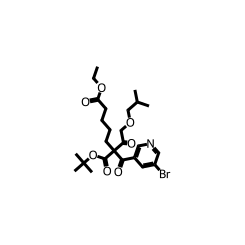 CCOC(=O)CCCCC(C(=O)COCC(C)C)(C(=O)OC(C)(C)C)C(=O)c1cncc(Br)c1